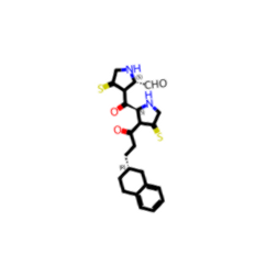 O=C[C@H]1NCC(=S)C1C(=O)[C@H]1NCC(=S)C1C(=O)CC[C@H]1CCc2ccccc2C1